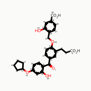 O=C(O)CCc1cc(C(=O)c2ccc(OC3CCCC3)cc2O)ccc1OCc1ccc(C(=O)O)cc1O